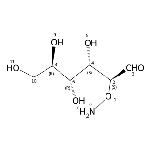 NO[C@H](C=O)[C@@H](O)[C@H](O)[C@H](O)CO